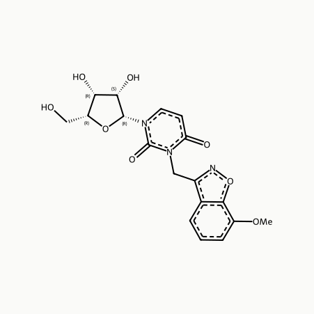 COc1cccc2c(Cn3c(=O)ccn([C@@H]4O[C@H](CO)[C@H](O)[C@@H]4O)c3=O)noc12